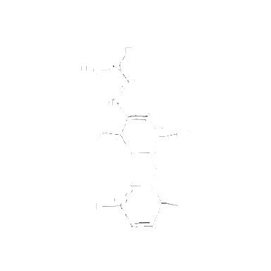 CCN(C)C=Nc1cc(Cl)c(Cc2cc(F)ccc2Cl)cc1Cl